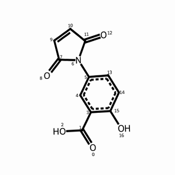 O=C(O)c1cc(N2C(=O)C=CC2=O)ccc1O